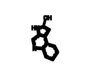 Oc1cc2c(cnc3ccccc32)[nH]1